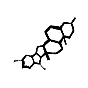 CC1CCC2(C)C(=CCC3C2CCC2(C)C3CC3C2[C@H](C)C2CC[C@H](C)CN32)C1